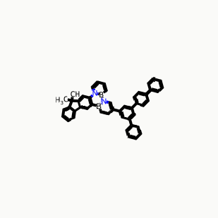 CC1(C)c2ccccc2-c2cc3c(cc21)N1C=CC=CB1N1C=C(c2cc(-c4ccccc4)cc(-c4ccc(-c5ccccc5)cc4)c2)C=CB31